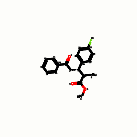 CCCCC(C(=O)OCCC)[C@H](CC(=O)c1ccccc1)c1ccc(F)cc1